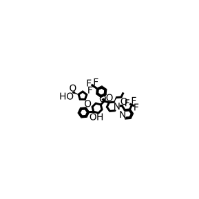 CCC[C@H]1N(C(=O)c2ncccc2C(F)(F)F)CCC[C@@]1(Oc1ccc(C(F)(F)F)cc1)C(=O)C1CCC(O)(c2ccccc2O[C@H]2CC[C@H](C(=O)O)C2)CC1